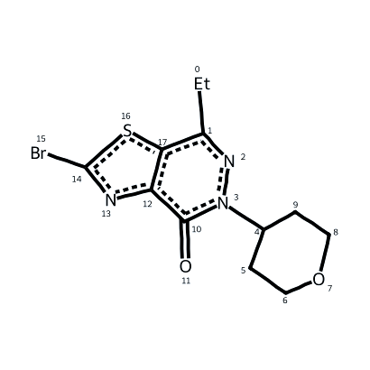 CCc1nn(C2CCOCC2)c(=O)c2nc(Br)sc12